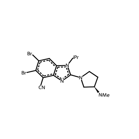 CN[C@@H]1CCN(c2nc3c(C#N)c(Br)c(Br)cc3n2C(C)C)C1